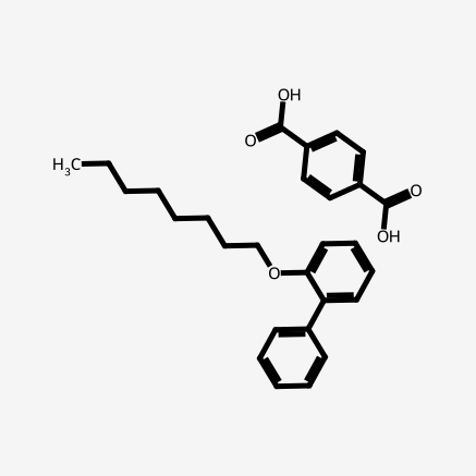 CCCCCCCCOc1ccccc1-c1ccccc1.O=C(O)c1ccc(C(=O)O)cc1